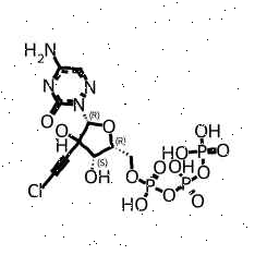 Nc1cnn([C@@H]2O[C@H](COP(=O)(O)OP(=O)(O)OP(=O)(O)O)[C@H](O)C2(O)C#CCl)c(=O)n1